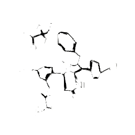 CC(C)[C@H](N)C(=O)Oc1cc([N+](=O)[O-])ccc1-c1cc(=O)[nH]c2c(-c3ccc(Cl)cc3)c(Cc3ccccc3)nn12.O=C(O)C(F)(F)F